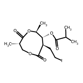 CC(C)C(=O)O[C@H]1[C@H](C)OC(=O)[C@@H](C)COC(=O)[C@@H]1CCI